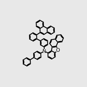 c1ccc(-c2ccc(N(c3cccc(-c4ccccc4-c4cc5ccccc5c5ccccc45)c3)c3cccc4oc5c6ccccc6ccc5c34)cc2)cc1